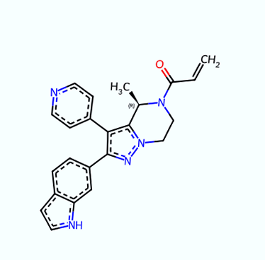 C=CC(=O)N1CCn2nc(-c3ccc4cc[nH]c4c3)c(-c3ccncc3)c2[C@H]1C